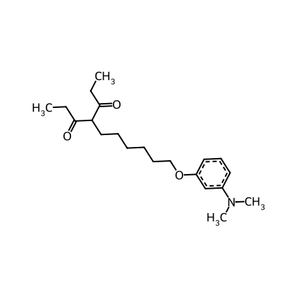 CCC(=O)C(CCCCCCOc1cccc(N(C)C)c1)C(=O)CC